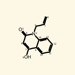 C=CCn1c(=O)[c]c(O)c2ccccc21